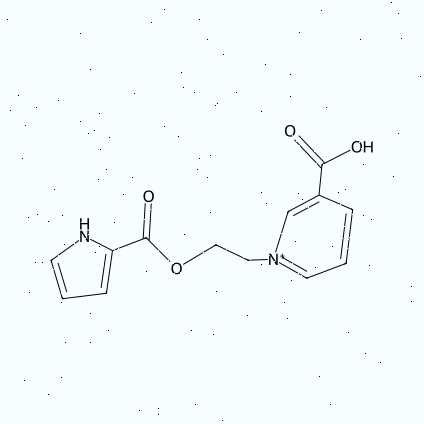 O=C(O)c1ccc[n+](CCOC(=O)c2ccc[nH]2)c1